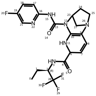 CC[C@@H](NC(=O)C1C=CC2=C(N1)N(C(=O)Nc1ccc(F)cn1)C1CCN2C1)C(F)(F)F